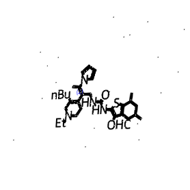 CCCCC1=C(/C(CNC(=O)Nc2sc3c(c2C=O)CC(C)CC3C)=C(\C)n2cccc2)CCN(CC)C1